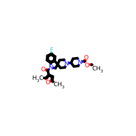 CCOC(=O)N1CCC(N2CCC3(CC2)CN(C(=O)c2cc(C)oc2C)c2ccc(F)cc23)CC1